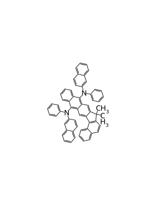 CC1(C)c2cc3c(N(c4ccccc4)c4ccc5ccccc5c4)c4ccccc4c(N(c4ccccc4)c4ccc5ccccc5c4)c3cc2-c2c1ccc1ccccc21